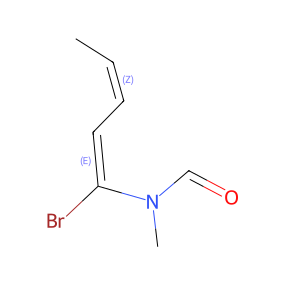 C/C=C\C=C(\Br)N(C)C=O